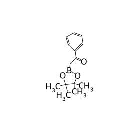 CC1(C)OB(CC(=O)c2ccccc2)OC1(C)C